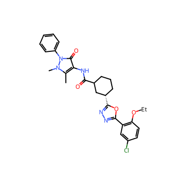 CCOc1ccc(Cl)cc1-c1nnc([C@H]2CCCC(C(=O)Nc3c(C)n(C)n(-c4ccccc4)c3=O)C2)o1